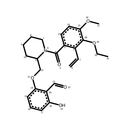 C=Cc1c(C(=O)N2CCCCC2COc2cccc(O)c2C=O)ccc(OC)c1OCC